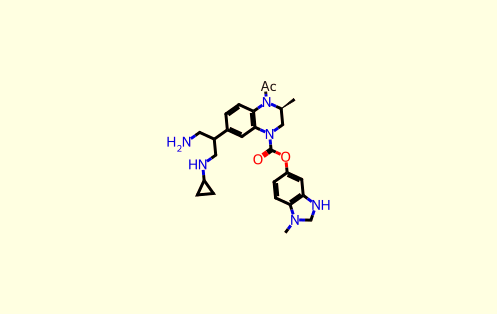 CC(=O)N1c2ccc(C(CN)CNC3CC3)cc2N(C(=O)Oc2ccc3c(c2)NCN3C)C[C@@H]1C